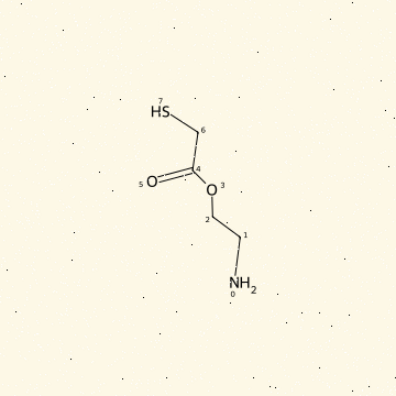 NCCOC(=O)CS